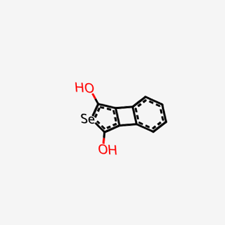 Oc1[se]c(O)c2c1-c1ccccc1-2